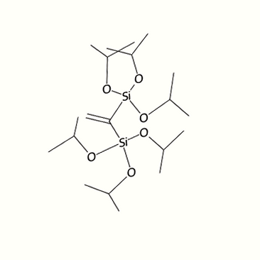 C=C([Si](OC(C)C)(OC(C)C)OC(C)C)[Si](OC(C)C)(OC(C)C)OC(C)C